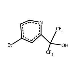 [CH2]Cc1ccnc(C(O)(C(F)(F)F)C(F)(F)F)c1